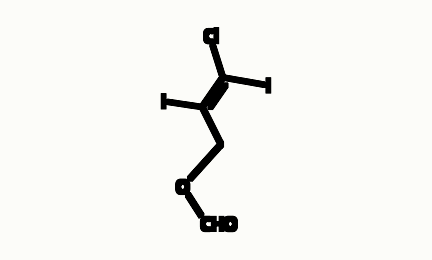 O=COCC(I)=C(Cl)I